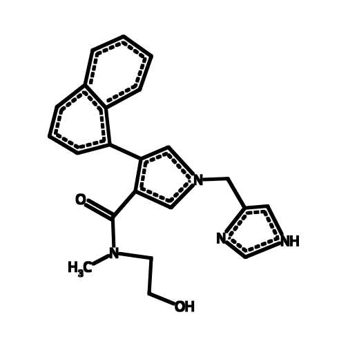 CN(CCO)C(=O)c1cn(Cc2c[nH]cn2)cc1-c1cccc2ccccc12